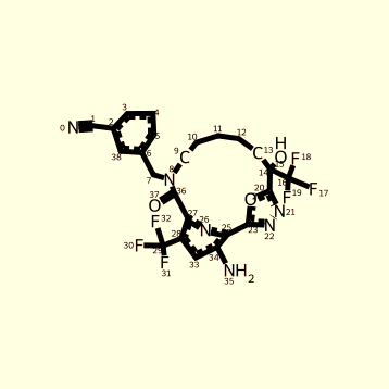 N#Cc1cccc(CN2CCCCCC(O)(C(F)(F)F)c3nnc(o3)-c3nc(c(C(F)(F)F)cc3N)C2=O)c1